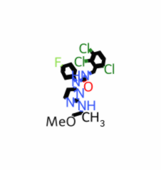 COCC(C)Nc1nccc(N(C(=O)NCc2c(Cl)ccc(Cl)c2Cl)c2ccc(F)cc2)n1